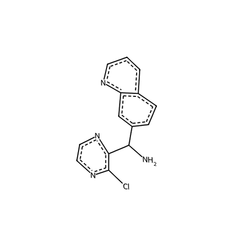 NC(c1ccc2cccnc2c1)c1nccnc1Cl